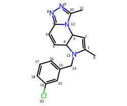 CC1=CC2C(C=Cc3nnc(C)n32)N1Cc1cccc(Cl)c1